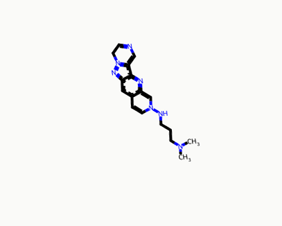 CN(C)CCCNN1C=Cc2cc3nn4c(c3nc2=C1)=CN=CC4